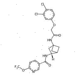 O=C(COc1ccc(Cl)c(Cl)c1)NC12CC(C1)[C@H](NC(=O)c1ccc(OC(F)(F)F)nc1)C2